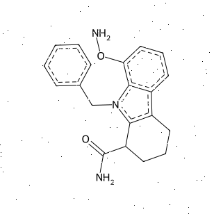 NOc1cccc2c3c(n(Cc4ccccc4)c12)C(C(N)=O)CCC3